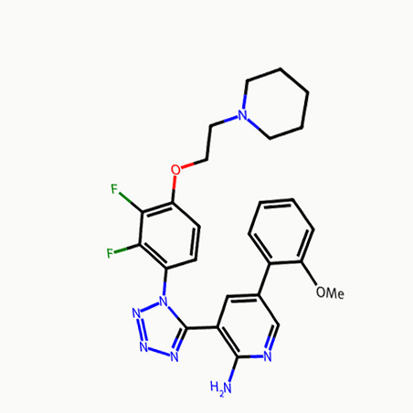 COc1ccccc1-c1cnc(N)c(-c2nnnn2-c2ccc(OCCN3CCCCC3)c(F)c2F)c1